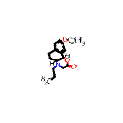 CCCN1CC(=O)O[C@@H]2c3cc(OC)ccc3CC[C@H]21